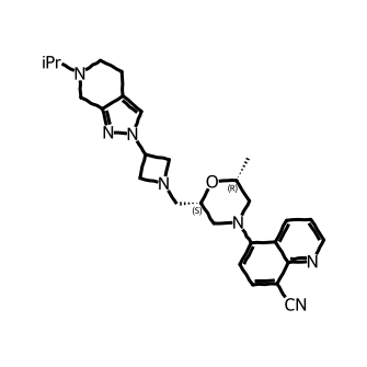 CC(C)N1CCc2cn(C3CN(C[C@H]4CN(c5ccc(C#N)c6ncccc56)C[C@@H](C)O4)C3)nc2C1